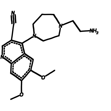 COc1cc2ncc(C#N)c(N3CCCN(CCN)CC3)c2cc1OC